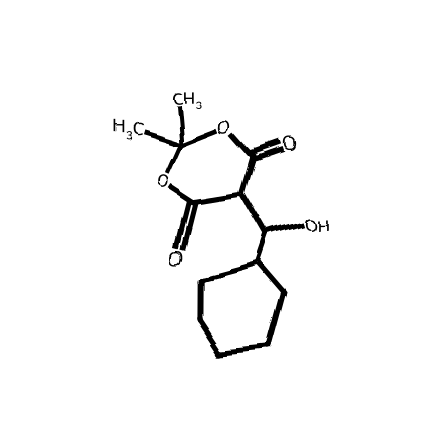 CC1(C)OC(=O)C(C(O)C2CCCCC2)C(=O)O1